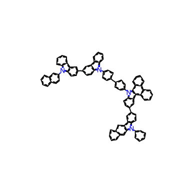 c1ccc(-n2c3ccc(-c4ccc5c(c4)c4c6ccccc6c6ccccc6c4n5-c4ccc(-c5ccc(-n6c7ccccc7c7cc(-c8ccc9c(c8)c8ccccc8n9-c8ccc9ccccc9c8)ccc76)cc5)cc4)cc3c3cc4ccccc4cc32)cc1